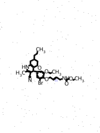 CCCC1CC(=O)C2=C(C1)NC(C)=C(C#N)C2c1cc(Br)c(OC/C=C/CNC(=O)OCC)c(OCC)c1